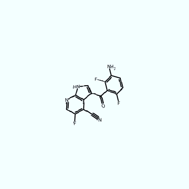 N#Cc1c(F)cnc2[nH]cc(C(=O)c3c(F)ccc(N)c3F)c12